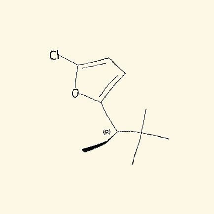 C[C@@H](c1ccc(Cl)o1)C(C)(C)C